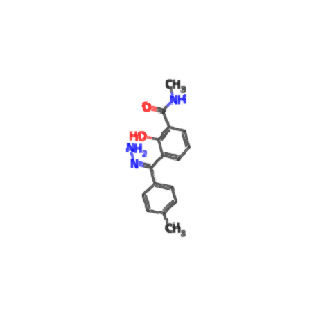 CNC(=O)c1cccc(/C(=N\N)c2ccc(C)cc2)c1O